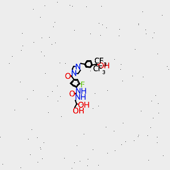 O=C(NCC(O)CO)Nc1ccc(C(=O)N2CCN(Cc3ccc(C(O)(C(F)(F)F)C(F)(F)F)cc3)CC2)cc1F